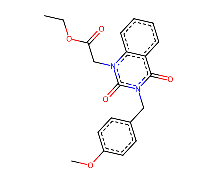 CCOC(=O)Cn1c(=O)n(Cc2ccc(OC)cc2)c(=O)c2ccccc21